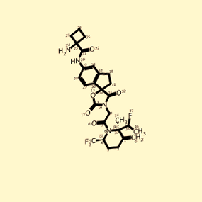 C=C1CC[C@@H](C(F)(F)F)N(C(=O)CN2C(=O)OC3(CCc4cc(NC(=O)C5(N)CCC5)ccc43)C2=O)[C@@]1(C)C(C)F